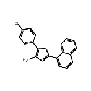 Cc1nc(-c2cccc3ccccc23)sc1-c1ccc(Cl)cc1